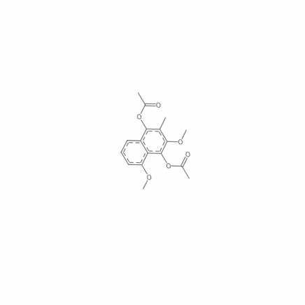 COc1c(C)c(OC(C)=O)c2cccc(OC)c2c1OC(C)=O